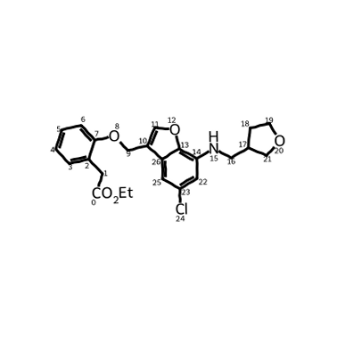 CCOC(=O)Cc1ccccc1OCc1coc2c(NCC3CCOC3)cc(Cl)cc12